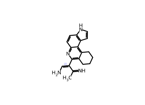 CC(=N)/C(=C\N)c1nc2ccc3[nH]ccc3c2c2c1CCCC2